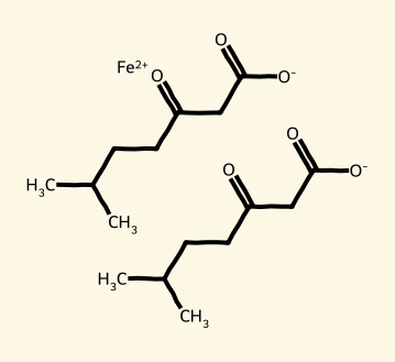 CC(C)CCC(=O)CC(=O)[O-].CC(C)CCC(=O)CC(=O)[O-].[Fe+2]